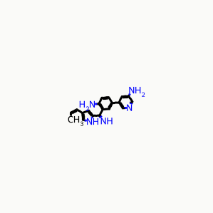 C/C=C\c1c[nH]c(C(=N)c2cc(-c3cncc(N)c3)ccc2N)c1